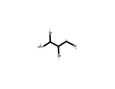 CCCC(Br)C(Br)CBr